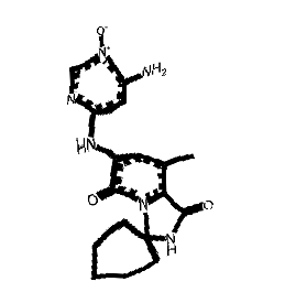 Cc1cc(Nc2cc(N)[n+]([O-])cn2)c(=O)n2c1C(=O)NC21CCCCC1